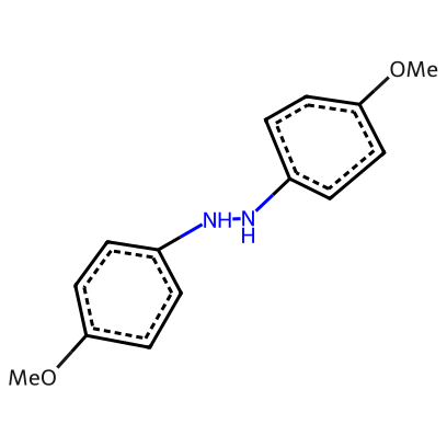 COc1ccc(NNc2ccc(OC)cc2)cc1